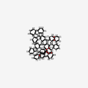 c1ccc(-c2cccc(-c3ccccc3)c2N2c3ccccc3B3c4ccc([Si](c5ccccc5)(c5ccccc5)c5ccccc5)cc4N(c4cccc([Si](c5ccccc5)(c5ccccc5)c5ccccc5)c4)c4cc(-n5c6ccccc6c6ccccc65)cc2c43)cc1